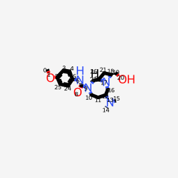 COc1ccc(NC(=O)N2CCC(N(C)C)CN3[C@H](CO)C[C@@H]3C2)cc1